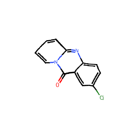 O=c1c2cc(Cl)ccc2nc2ccccn12